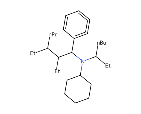 CCCCC(CC)N(C1CCCCC1)C(C1=C=C=CC=C1)C(CC)C(CC)CCC